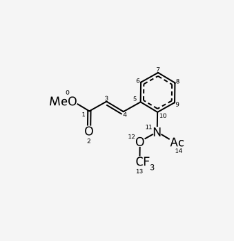 COC(=O)C=Cc1ccccc1N(OC(F)(F)F)C(C)=O